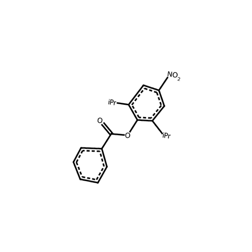 CC(C)c1cc([N+](=O)[O-])cc(C(C)C)c1OC(=O)c1ccccc1